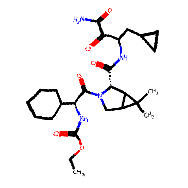 CCOC(=O)N[C@H](C(=O)N1CC2C([C@H]1C(=O)NC(CC1CC1)C(=O)C(N)=O)C2(C)C)C1CCCCC1